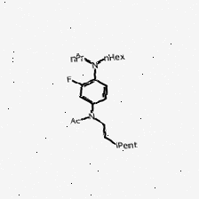 CCCCCCN(CCC)c1ccc(N(CCC(C)CCC)C(C)=O)cc1F